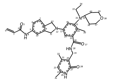 C=CC(=O)Nc1ccc2c(c1)CN(c1cc(C(=O)NCc3c(C)cc(C)[nH]c3=O)c(C)c(N(CC)C3CCOCC3)c1)C2